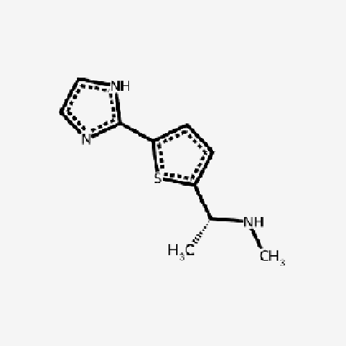 CN[C@H](C)c1ccc(-c2ncc[nH]2)s1